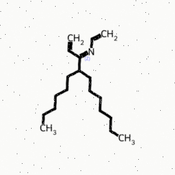 C=C/N=C(\C=C)C(CCCCCC)CCCCCCC